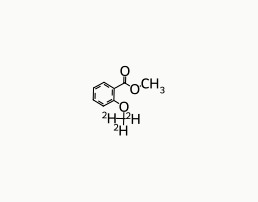 [2H]C([2H])([2H])Oc1ccccc1C(=O)OC